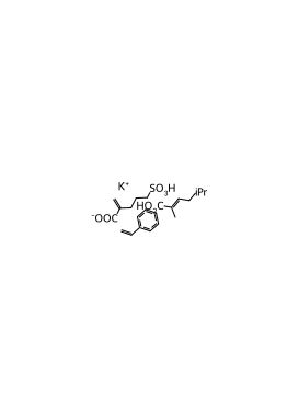 C=C(CCCS(=O)(=O)O)C(=O)[O-].C=Cc1ccccc1.CC(=CCC(C)C)C(=O)O.[K+]